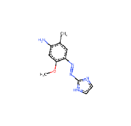 COc1cc(N)c(C)cc1/N=N/c1ncc[nH]1